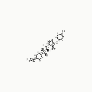 CCn1c(Oc2ccc(F)cc2)nnc1[C@@H](C)NS(=O)(=O)c1ccc(OC(F)(F)F)cc1